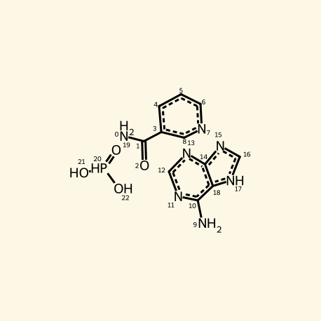 NC(=O)c1cccnc1.Nc1ncnc2nc[nH]c12.O=[PH](O)O